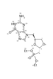 CCOP(=O)(C[C@H]1OC[C@H](Cn2cnc3c(=O)[nH]c(N)nc32)O1)OCC